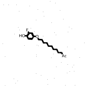 CC(=O)CCCCCCCCCCOc1ccc(O)c(F)c1